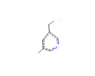 CNCc1cncc(C(F)(F)F)c1